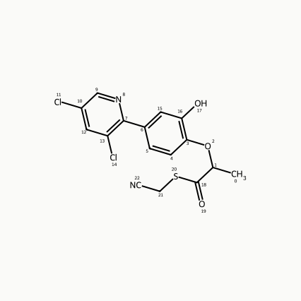 CC(Oc1ccc(-c2ncc(Cl)cc2Cl)cc1O)C(=O)SCC#N